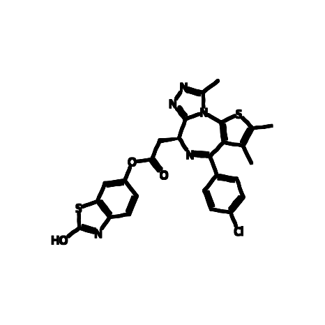 Cc1sc2c(c1C)C(c1ccc(Cl)cc1)=N[C@@H](CC(=O)Oc1ccc3nc(O)sc3c1)c1nnc(C)n1-2